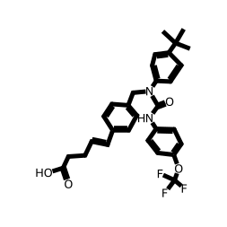 CC(C)(C)c1ccc(N(Cc2ccc(/C=C/CCC(=O)O)cc2)C(=O)Nc2ccc(OC(F)(F)F)cc2)cc1